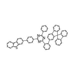 c1ccc(-c2nc(-c3ccc(-c4ccc5c(c4)sc4ccccc45)cc3)nc(-c3ccccc3-c3ccc4c(c3)C3(c5ccccc5-c5ccccc53)c3ccccc3-4)n2)cc1